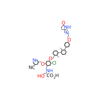 Cc1c(COc2cc(OCc3cncc(C#N)c3)c(CNC(CO)C(=O)O)cc2Cl)cccc1-c1cccc(-c2ccc(OCCN3CC4(CCC(=O)N4)C3)cc2)c1C